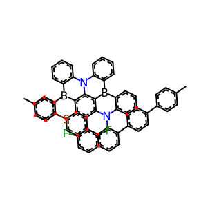 Cc1ccc(-c2ccc(-c3cccc(-c4ccc(-c5ccc(C)cc5)cc4)c3N3c4ccccc4B4c5ccccc5N5c6ccccc6B6c7ccccc7Sc7c6c5c4c3c7-c3c(F)cccc3F)cc2)cc1